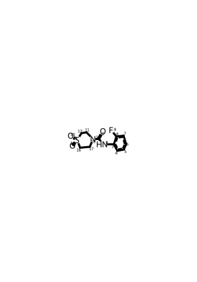 O=C(Nc1ccccc1F)N1CCS(=O)(=O)CC1